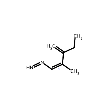 C=C(CC)/C(C)=C\N=N